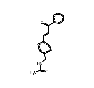 CC(=O)NCc1ccc(C=CC(=O)c2ccccc2)cc1